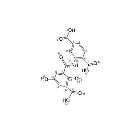 O=C(O)c1ccc(C(=O)O)c(NC(=O)c2cc(O)cc(C(=O)O)c2O)n1